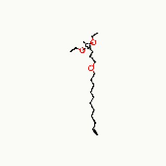 C=CCCCCCCCCCOCCC[Si](C)(OCC)OCC